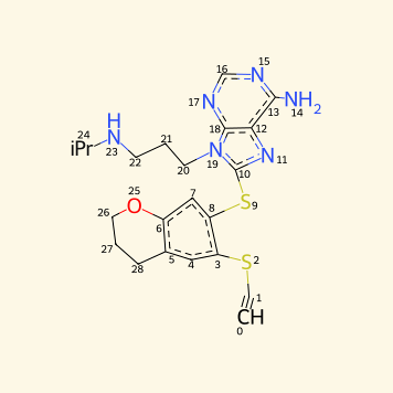 C#CSc1cc2c(cc1Sc1nc3c(N)ncnc3n1CCCNC(C)C)OCCC2